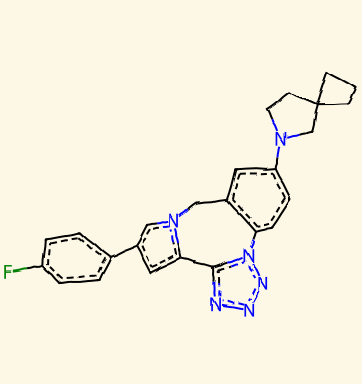 Fc1ccc(-c2cc3n(c2)Cc2cc(N4CCC5(CCC5)C4)ccc2-n2nnnc2-3)cc1